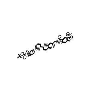 Cc1ccc(C(=O)NCc2cc3nc(-c4cccc(N5CC6C[C@]6(N(C)C(=O)OC(C)(C)C)C5)n4)ccc3cn2)cc1S(C)(=O)=O